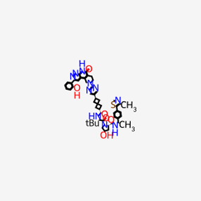 Cc1ncsc1-c1ccc([C@H](C)NC(=O)[C@@H]2C[C@@H](O)CN2C(=O)[C@@H](NC(=O)[C@H]2CC3(C2)C[C@H](c2cnc(N4CCc5c(c6cc(-c7ccccc7O)nnc6[nH]c5=O)C4)nc2)C3)C(C)(C)C)cc1